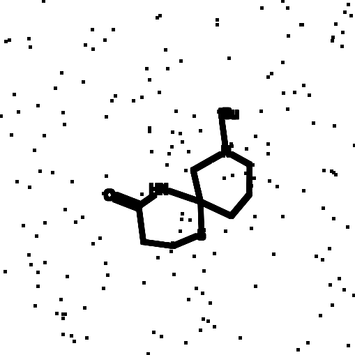 CC(C)(C)N1CCCC2(C1)NC(=O)CCS2